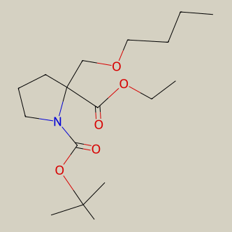 CCCCOCC1(C(=O)OCC)CCCN1C(=O)OC(C)(C)C